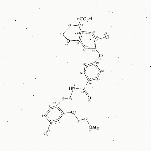 COCCOc1cc(Cl)ccc1CCNC(=O)c1ccc(Oc2cc3c(cc2Cl)C(C(=O)O)CCO3)cc1